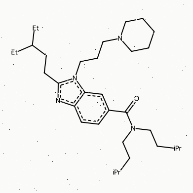 CCC(CC)CCc1nc2ccc(C(=O)N(CCC(C)C)CCC(C)C)cc2n1CCCN1CCCCC1